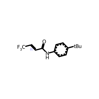 CC(C)(C)c1ccc(NC(=O)/C=C/C(F)(F)F)cc1